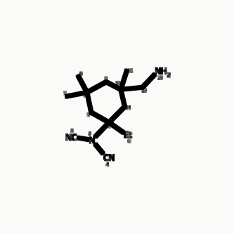 CCC1(N(C#N)C#N)CC(C)(C)CC(C)(CN)C1